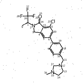 CC(N1Cc2cc(-c3ccc(CN4CCN(C)C4)cc3)cc(Cl)c2C1=O)C(F)(F)F